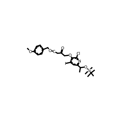 COc1ccc(COCCC(=O)COc2c(I)cc(C(C)O[Si](C)(C)C(C)(C)C)nc2Cl)cc1